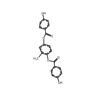 Cc1cc(OC(=O)c2ccc(O)cc2)ccc1OC(=O)c1ccc(O)cc1